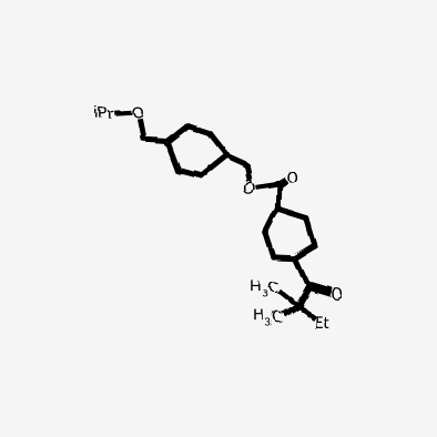 CCC(C)(C)C(=O)C1CCC(C(=O)OCC2CCC(COC(C)C)CC2)CC1